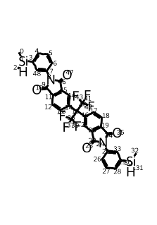 C[SiH](C)c1cccc(N2C(=O)c3ccc(C(c4ccc5c(c4)C(=O)N(c4cccc([SiH](C)C)c4)C5=O)(C(F)(F)F)C(F)(F)F)cc3C2=O)c1